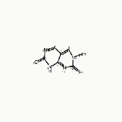 CC(C)n1cc2cnc(=O)[nH]c2nc1=S